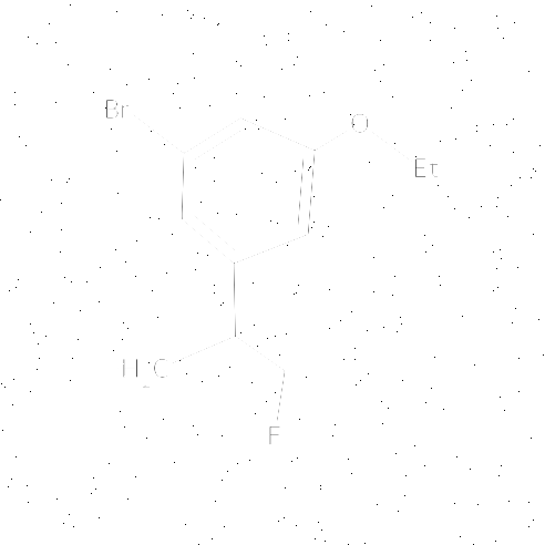 [CH2]C(CF)c1cc(Br)cc(OCC)c1